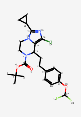 CC(C)(C)OC(=O)N1CCn2c(C3CC3)nc(Cl)c2C1CCc1ccc(OC(F)F)cc1